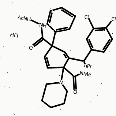 CCCC(C1=CC(C(=O)NNC(C)=O)(c2ccccc2)C=CC1(C(=O)NC)N1CCCCC1)c1ccc(Cl)c(Cl)c1.Cl